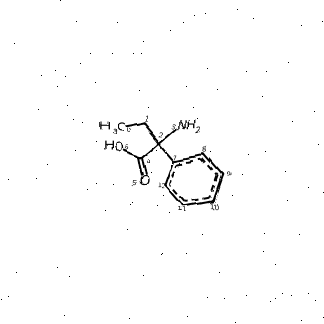 CCC(N)(C(=O)O)c1ccccc1